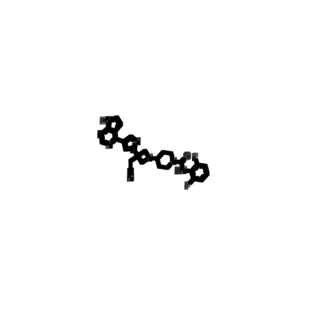 N#CCC1(n2cc(-c3ncnc4[nH]ccc34)cn2)CN(C2CCN(C(=O)Nc3c(F)cccc3F)CC2)C1